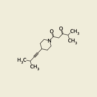 CC(C)C#CC1CCN(C(=O)CC(=O)C(C)C)CC1